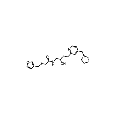 O=C(CSCc1ccoc1)NCC(O)CCc1cc(CN2CCCC2)ccn1